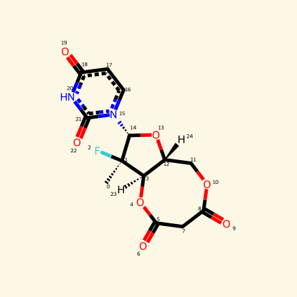 C[C@@]1(F)[C@@H]2OC(=O)CC(=O)OC[C@H]2O[C@H]1n1ccc(=O)[nH]c1=O